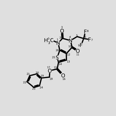 Cn1c(=O)n(CC(F)(F)F)c(=O)c2cc(C(=O)OCc3ccccc3)sc21